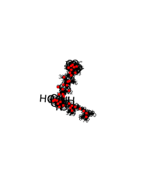 CCCC[N+](CCCC)(CCCC)CCCC.CCCC[N+](CCCC)(CCCC)CCCC.CCCC[N+](CCCC)(CCCC)CCCC.CCCC[N+](CCCC)(CCCC)CCCC.CCCC[N+](CCCC)(CCCC)CCCC.Nc1nc2c(ncn2[C@@H]2O[C@H](CO)[C@@H](O)[C@H]2O)c(=O)[nH]1.O=P([O-])([O-])OP(=O)([O-])OP(=O)([O-])[O-]